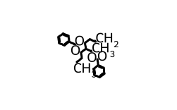 C=CCC(OC(=O)c1ccccc1)C(CCCC)C(C)OC(=O)c1ccccc1